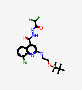 CC(C)(C)[Si](C)(C)OCCNc1cc(C(=O)NNC(=O)C(F)F)c2cccc(Br)c2n1